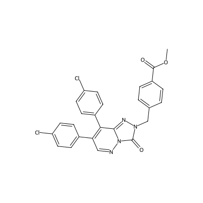 COC(=O)c1ccc(Cn2nc3c(-c4ccc(Cl)cc4)c(-c4ccc(Cl)cc4)cnn3c2=O)cc1